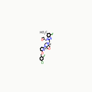 O=C(O)c1cc(F)c2nc(CN3CCN(c4cccc(OCc5ccc(Cl)cc5F)n4)[C@@H]4COC[C@@H]43)n(C[C@@H]3CCO3)c2c1